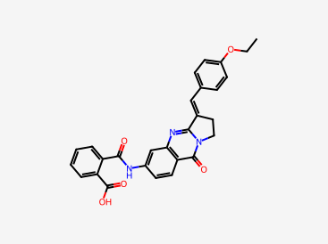 CCOc1ccc(C=C2CCn3c2nc2cc(NC(=O)c4ccccc4C(=O)O)ccc2c3=O)cc1